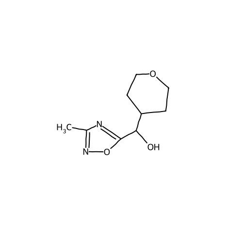 Cc1noc(C(O)C2CCOCC2)n1